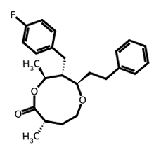 C[C@@H]1OC(=O)[C@@H](C)CCO[C@H](CCc2ccccc2)[C@H]1Cc1ccc(F)cc1